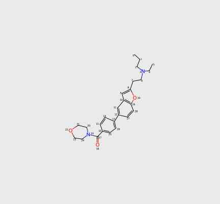 CCCN(CC)CCc1cc2cc(-c3ccc(C(=O)N4CCOCC4)cc3)ccc2o1